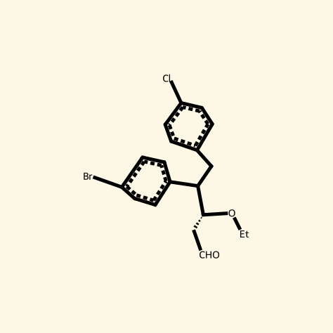 CCO[C@H](CC=O)C(Cc1ccc(Cl)cc1)c1ccc(Br)cc1